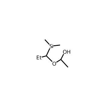 CCC(OC(C)O)[Si](C)C